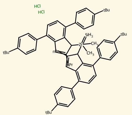 CCCC1=Cc2c(-c3ccc(C(C)(C)C)cc3)ccc(-c3ccc(C(C)(C)C)cc3)c2[CH]1[Zr]([CH3])([CH3])(=[SiH2])[CH]1C(CCC)=Cc2c(-c3ccc(C(C)(C)C)cc3)ccc(-c3ccc(C(C)(C)C)cc3)c21.Cl.Cl